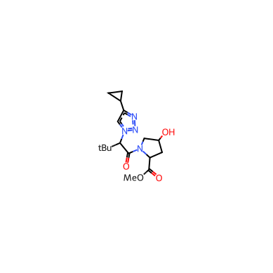 COC(=O)C1CC(O)CN1C(=O)C(n1cc(C2CC2)nn1)C(C)(C)C